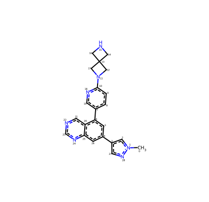 Cn1cc(-c2cc(-c3ccc(N4CC5(CNC5)C4)nc3)c3cncnc3c2)cn1